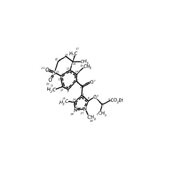 CCOC(=O)C(C)Oc1c(C(=O)c2cc(C)c3c(c2C)C(C)(C)CCS3(=O)=O)c(C)nn1C